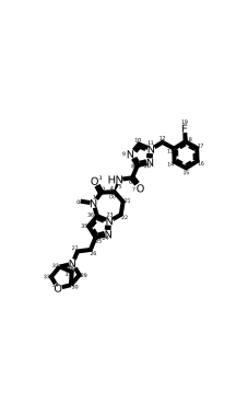 CN1C(=O)[C@@H](NC(=O)c2ncn(Cc3ccccc3F)n2)CCn2nc(CCN3CC4CC3CO4)cc21